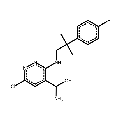 CC(C)(CNc1nnc(Cl)cc1C(N)O)c1ccc(F)cc1